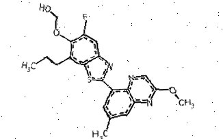 CCCc1c(OCO)c(F)cc2nc(-c3cc(C)cc4nc(OC)cnc34)sc12